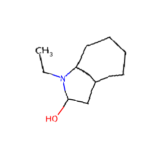 CCN1C(O)CC2CCCCC21